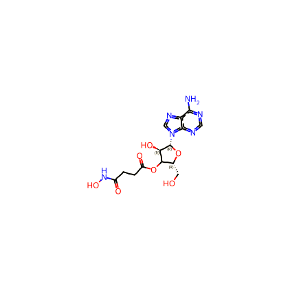 Nc1ncnc2c1ncn2[C@@H]1O[C@H](CO)C(OC(=O)CCC(=O)NO)[C@H]1O